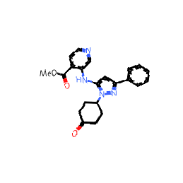 COC(=O)c1ccncc1Nc1cc(-c2ccccc2)nn1C1CCC(=O)CC1